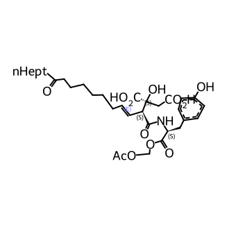 CCCCCCCC(=O)CCCCCC/C=C/[C@H](C(=O)N[C@@H](Cc1ccc(O)cc1)C(=O)OCOC(C)=O)[C@@](O)(CC(=O)O)C(=O)O